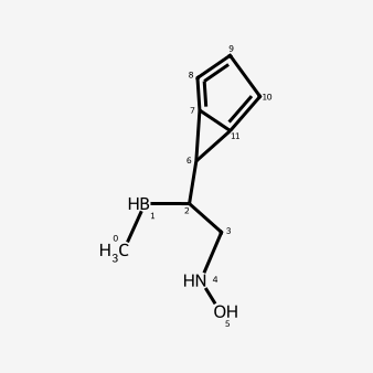 CBC(CNO)C1C2=C=CC=C21